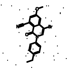 CCc1ccc(-n2cc(Br)c3cc(OC)cc(C#N)c3c2=O)cc1